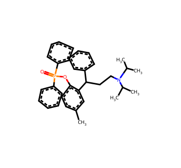 Cc1ccc(OP(=O)(c2ccccc2)c2ccccc2)c(C(CCN(C(C)C)C(C)C)c2ccccc2)c1